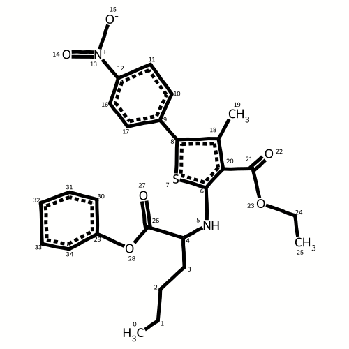 CCCCC(Nc1sc(-c2ccc([N+](=O)[O-])cc2)c(C)c1C(=O)OCC)C(=O)Oc1ccccc1